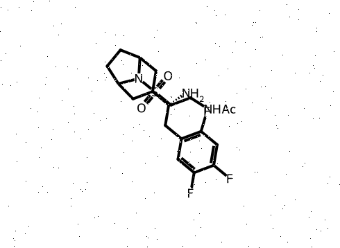 CC(=O)NCCS(=O)(=O)N1C2CCC1CC([C@H](N)Cc1cc(F)c(F)cc1F)C2